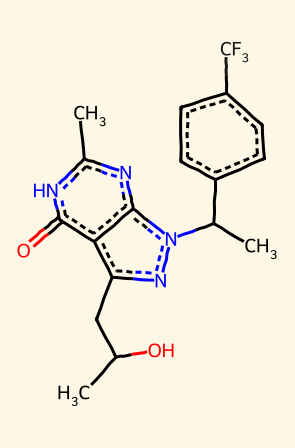 Cc1nc2c(c(CC(C)O)nn2C(C)c2ccc(C(F)(F)F)cc2)c(=O)[nH]1